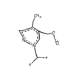 CCOc1c(C)[c]nn1C(F)F